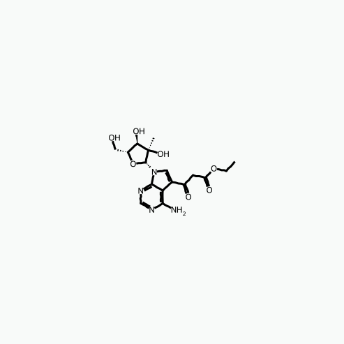 CCOC(=O)CC(=O)c1cn([C@@H]2O[C@H](CO)[C@@H](O)[C@@]2(C)O)c2ncnc(N)c12